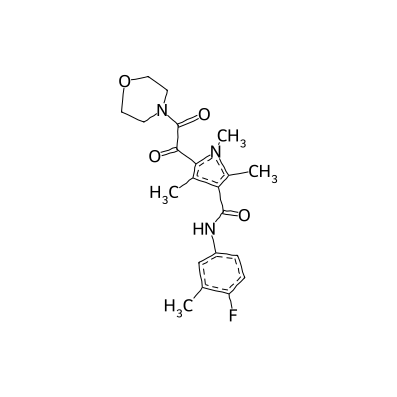 Cc1cc(NC(=O)c2c(C)c(C(=O)C(=O)N3CCOCC3)n(C)c2C)ccc1F